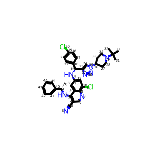 C[C@H](Nc1c(C#N)cnc2c(Cl)cc(N[C@@H](c3ccc(Cl)cc3)c3cn(C4CCN(C(C)(C)C)CC4)nn3)cc12)c1ccccc1